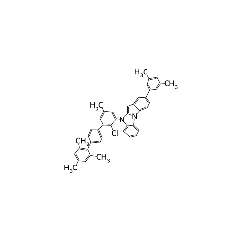 Cc1cc(C)cc(-c2ccc3c(c2)cc2n(-c4cc(C)cc(-c5ccc(-c6c(C)cc(C)cc6C)cc5)c4Cl)c4ccccc4n32)c1